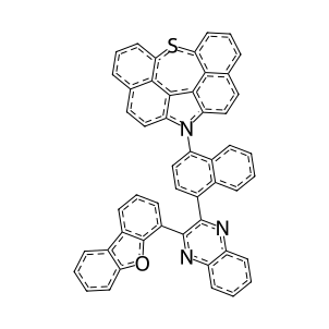 c1ccc2nc(-c3cccc4c3oc3ccccc34)c(-c3ccc(-n4c5ccc6cccc7sc8cccc9ccc4c(c98)c5c67)c4ccccc34)nc2c1